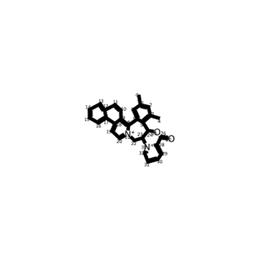 Cc1cc(C)c2c(c1)-c1c3ccc4ccccc4c3cc[n+]1CC1C2OC(=O)c2cccc[n+]21